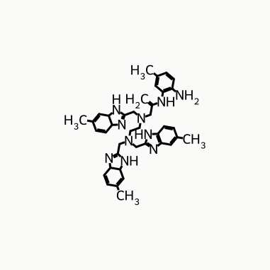 C=C(CN(CCN(CC1=NC2C=CC(C)=CC2N1)Cc1nc2cc(C)ccc2[nH]1)CC1=NC2C=CC(C)=CC2N1)Nc1cc(C)ccc1N